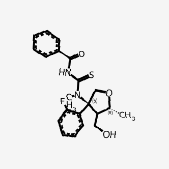 C[C@H]1OC[C@](c2ccccc2F)(N(C)C(=S)NC(=O)c2ccccc2)C1CO